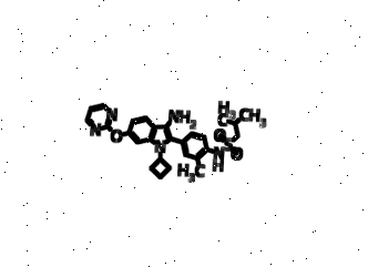 Cc1cc(-c2c(N)c3ccc(Oc4ncccn4)cc3n2C2CCC2)ccc1NS(=O)(=O)CC(C)C